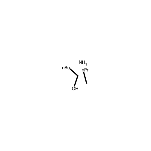 CCCC.CCCCCO.N